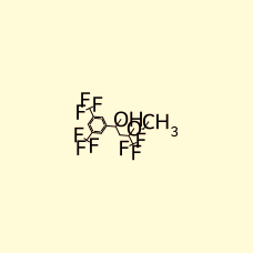 CCOC(CC(O)c1cc(C(F)(F)F)cc(C(F)(F)F)c1)C(F)(F)F